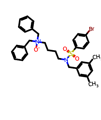 Cc1cc(C)cc(CN(CCCC[N+]([O-])(Cc2ccccc2)Cc2ccccc2)S(=O)(=O)c2ccc(Br)cc2)c1